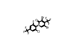 O=c1c(Br)c(C(F)(F)F)c(Br)cn1-c1c(F)cc(C(F)(F)F)cc1Cl